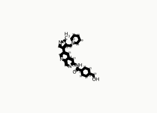 Cn1ncc(-c2cnc3cnc(NC(=O)C4CCC(CO)CC4)cc3c2)c1CN1CCCCC1